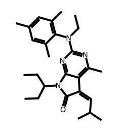 CCC(CC)N1C(=O)/C(=C\C(C)C)c2c(C)nc(N(CC)c3c(C)cc(C)cc3C)nc21